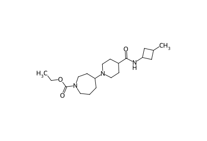 CCOC(=O)N1CCCC(N2CCC(C(=O)NC3CC(C)C3)CC2)CC1